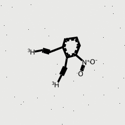 [3H]C#Cc1cccc([N+](=O)[O-])c1C#C[3H]